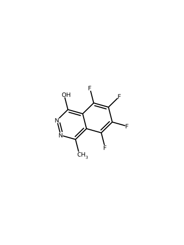 Cc1nnc(O)c2c(F)c(F)c(F)c(F)c12